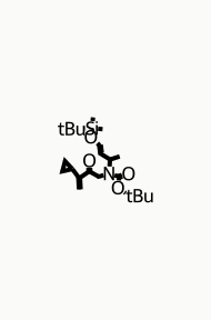 C=C(C(=O)CN(C(=O)OC(C)(C)C)C(C)C=CO[Si](C)(C)C(C)(C)C)C1CC1